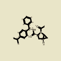 CC(=O)N1C2C[C@@H]2C[C@H]1C(=O)N[C@@H](c1ccccc1)c1ccc(C(C)C)cc1